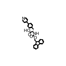 O=C(N[C@@H](Cc1ccc(-c2ccncc2)cc1)C(=O)O)OCC1c2ccccc2-c2ccccc21